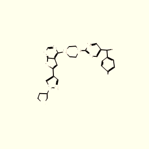 C[C@](O)(c1ccc(F)cc1)c1cnc(N2CCN(c3ncnc4[nH]c(-c5cnn(C6COC[C@@H]6O)c5)cc34)CC2)nc1